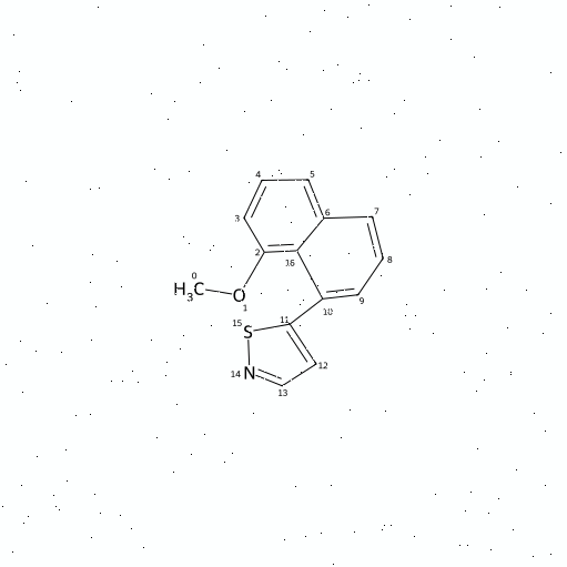 COc1cccc2cccc(-c3ccns3)c12